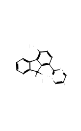 Cc1ccc(-c2ncccn2)c2c1-c1ccccc1C2(C)C